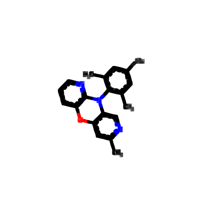 Cc1cc2c(cn1)N(c1c(C)cc(C(C)(C)C)cc1C)c1ncccc1O2